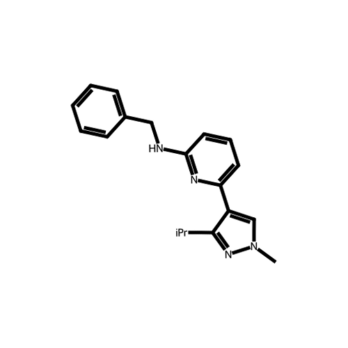 CC(C)c1nn(C)cc1-c1cccc(NCc2ccccc2)n1